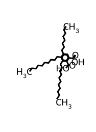 CCCCCCCCCCCCc1c(CCCCCCCCCC)c(CCCCCCCC)cc(C(=O)O)c1C(=O)O